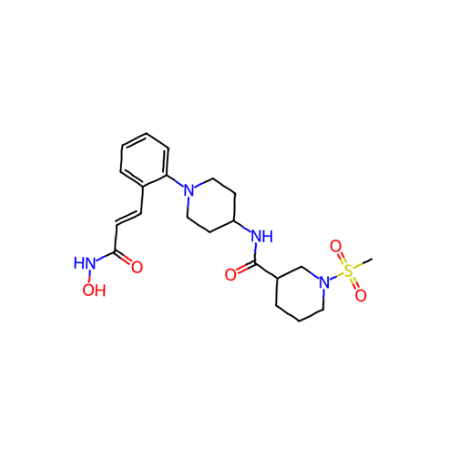 CS(=O)(=O)N1CCCC(C(=O)NC2CCN(c3ccccc3C=CC(=O)NO)CC2)C1